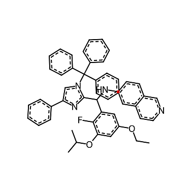 CCOc1cc(OC(C)C)c(F)c(C(Nc2ccc3cnccc3c2)c2nc(-c3ccccc3)cn2C(c2ccccc2)(c2ccccc2)c2ccccc2)c1